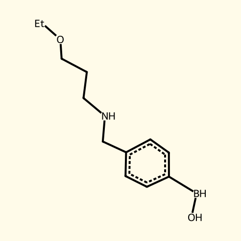 CCOCCCNCc1ccc(BO)cc1